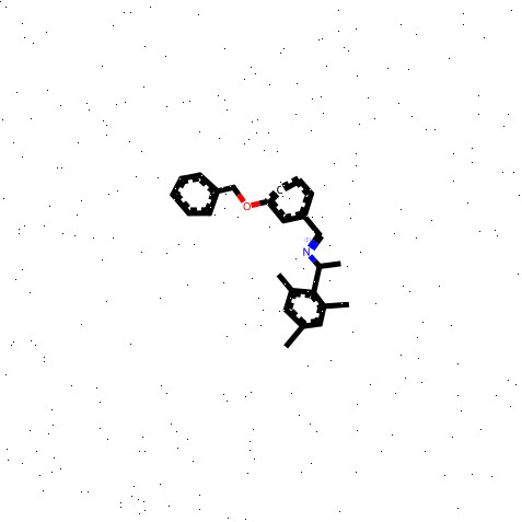 Cc1cc(C)c(C(C)/N=C/c2cccc(OCc3ccccc3)c2)c(C)c1